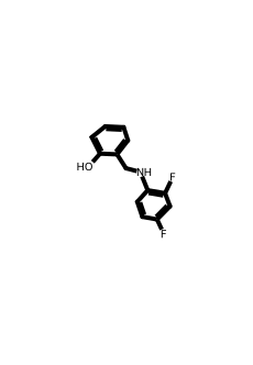 Oc1ccccc1CNc1ccc(F)cc1F